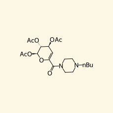 CCCCN1CCN(C(=O)C2=C[C@H](OC(C)=O)[C@@H](OC(C)=O)[C@H](OC(C)=O)O2)CC1